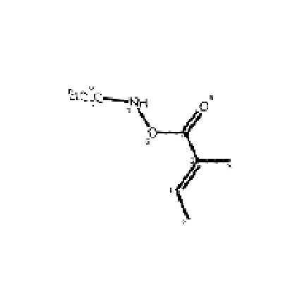 CC=C(C)C(=O)ONC(=O)OCC